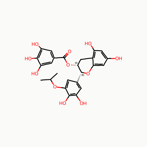 CC(C)Oc1cc([C@H]2Oc3cc(O)cc(O)c3C[C@H]2OC(=O)c2cc(O)c(O)c(O)c2)cc(O)c1O